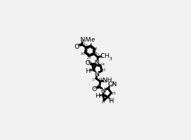 CNC(=O)c1ccc(C(C)N2C(=O)[C@@H]3CC2CN3CC(N)C(=O)N2C(C#N)C[C@@H]3C[C@@H]32)cc1